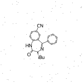 CC[C@H](C)C1N=C(c2ccccc2)c2cc(C#N)ccc2NC1=O